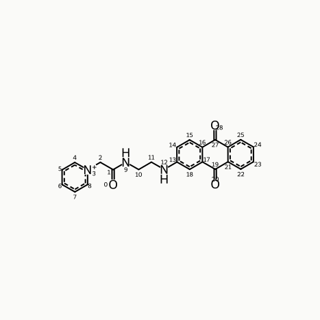 O=C(C[n+]1ccccc1)NCCNc1ccc2c(c1)C(=O)c1ccccc1C2=O